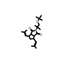 CC(C)=CC1CC(C=C(C)C)C2C(=O)N(C(C)(C)COC(C)(C)C)C(=O)C12